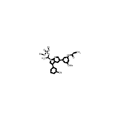 C=CC(=O)Nc1cc(OC)cc(-c2cnc3c(c2)c(-c2cccc(C#N)c2)cn3C(C)OP(=O)(OCC)OCC)c1